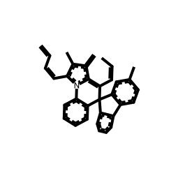 C=C/C=C\c1c(C)c(=C)c2n1-c1ccccc1C1(C=2/C=C\C)c2ccccc2-c2ccc(C)cc21